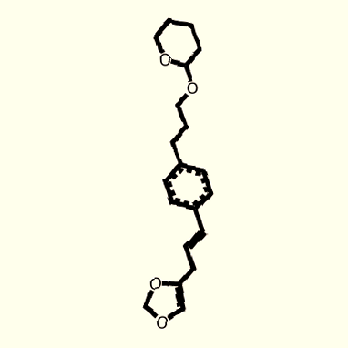 C(=Cc1ccc(CCCOC2CCCCO2)cc1)CC1=COCO1